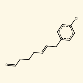 O=CCCCC=CCc1ccc(Cl)cc1